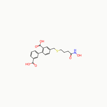 O=C(CCCSCc1ccc(-c2cccc(C(=O)O)c2)c(C(=O)O)c1)NO